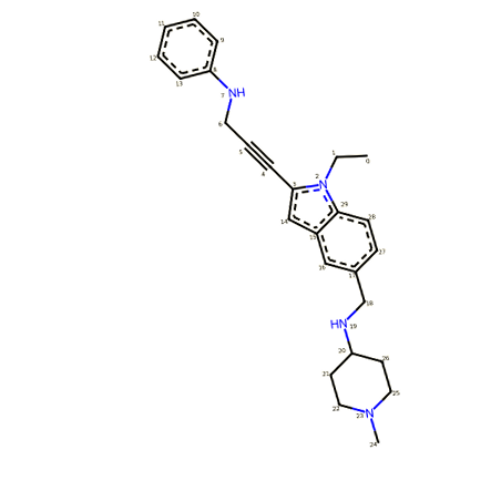 CCn1c(C#CCNc2ccccc2)cc2cc(CNC3CCN(C)CC3)ccc21